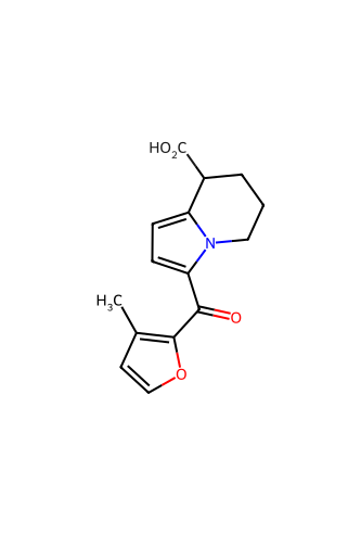 Cc1ccoc1C(=O)c1ccc2n1CCCC2C(=O)O